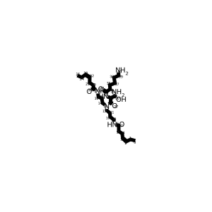 CC/C=C\CCC(=O)NCCCCN(CCCNC(=O)CC/C=C\CC)C(=O)C(CO)NC(=O)[C@@H](N)CCCCN